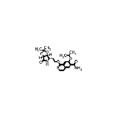 CC(C)Oc1cc2c(OCC[C@H]3NC(=O)[C@@H]4OC(C)(C)O[C@H]34)nccc2cc1C(N)=O